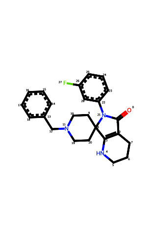 O=C1C2=C(NCCC2)C2(CCN(Cc3ccccc3)CC2)N1c1cccc(F)c1